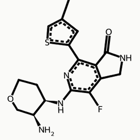 Cc1csc(-c2nc(N[C@@H]3CCOC[C@@H]3N)c(F)c3c2C(=O)NC3)c1